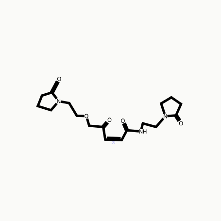 O=C(/C=C\C(=O)NCCN1CCCC1=O)COCCN1CCCC1=O